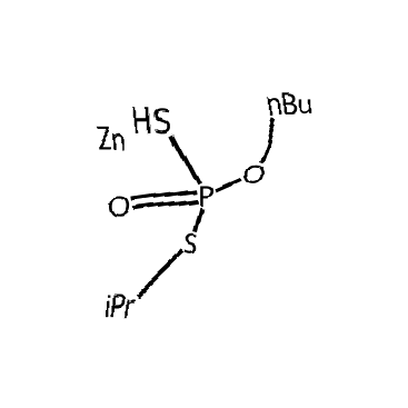 CCCCOP(=O)(S)SC(C)C.[Zn]